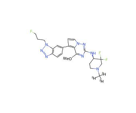 [2H]C([2H])([2H])N1CC[C@@H](Nc2nc(OC)c3c(-c4ccc5nnn(CCCF)c5c4)ccn3n2)C(F)(F)C1